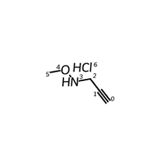 C#CCNOC.Cl